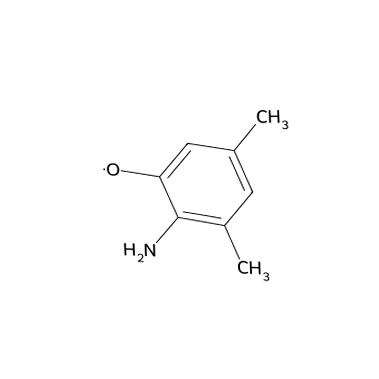 Cc1cc(C)c(N)c([O])c1